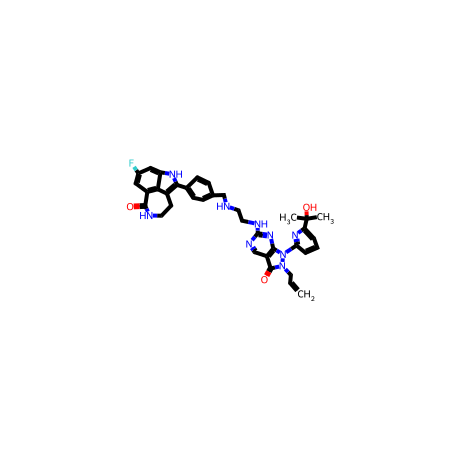 C=CCn1c(=O)c2cnc(NCCNCc3ccc(-c4[nH]c5cc(F)cc6c5c4CCNC6=O)cc3)nc2n1-c1cccc(C(C)(C)O)n1